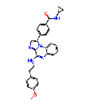 COc1ccc(CCNc2nc3ccccc3n3c(-c4ccc(C(=O)NC5CC5)cc4)cnc23)cc1